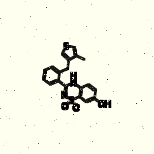 Cc1cscc1Cc1ccccc1C1=NS(=O)(=O)c2cc(O)ccc2N1